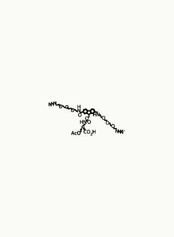 CC(=O)OCCN(CCNC(=O)OCC1c2cc(CNCCOCCOCCOCCN=[N+]=[N-])ccc2-c2ccc(C(=O)NCCOCCOCCOCCN=[N+]=[N-])cc21)CC(=O)O